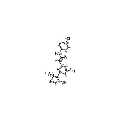 Cn1ncc(Br)c1-c1cc(O)cc(NC(=O)Nc2ccc(Cl)cc2)c1